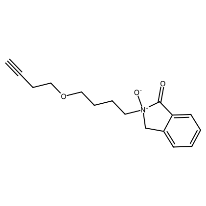 C#CCCOCCCC[N+]1([O-])Cc2ccccc2C1=O